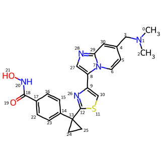 CN(C)Cc1ccn2c(-c3csc(C4(c5ccc(C(=O)NO)cc5)CC4)n3)cnc2c1